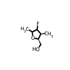 CC1O[C@H](CO)[C@H](C)C1F